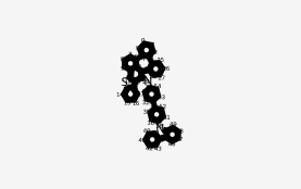 c1ccc2c(c1)-c1cccc3c4sc5ccccc5c4c4c(c13)c1c-2cccc1n4-c1ccc(-c2ccc(-n3c4ccccc4c4ccccc43)cc2)cc1